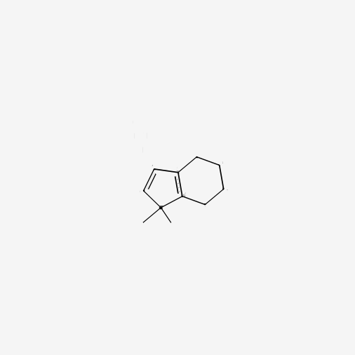 C[C]1([Ti])C=CC2=C1CCCC2.Cl.Cl.Cl